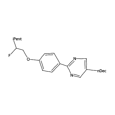 CCCCCCCCCCc1cnc(-c2ccc(OCC(F)C(C)CCC)cc2)nc1